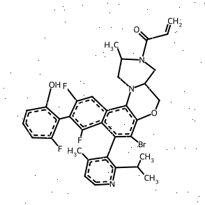 C=CC(=O)N1CC2COc3c(Br)c(-c4c(C)ccnc4C(C)C)c4c(F)c(-c5c(O)cccc5F)c(F)cc4c3N2CC1C